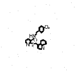 COc1ccc(CCNC(=O)c2cccnc2SCc2ccnc3ccccc23)cc1